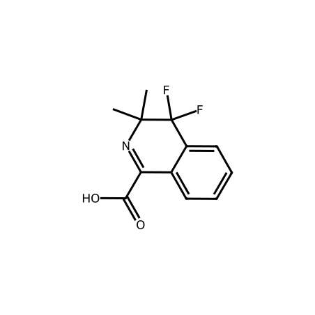 CC1(C)N=C(C(=O)O)c2ccccc2C1(F)F